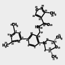 Cc1cc(-c2ccc(N3C[C@@H](C)O[C@@H](C)C3)c(CNC(=O)c3conc3C)c2)cc(C)n1